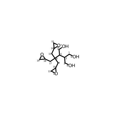 OCC(CO)C(CO)C(CC1CO1)(CC1CO1)CC1CO1